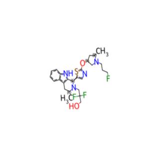 C[C@@H]1C[C@@H](Oc2ncc([C@@H]3c4[nH]c5ccccc5c4C[C@@H](C)N3CC(F)(F)CO)s2)CN1CCCF